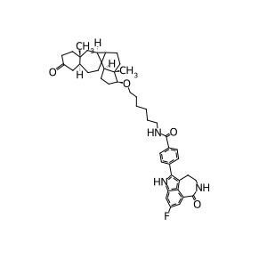 C[C@]12CCC(=O)C[C@@H]1CCC13C(CC[C@]4(C)[C@@H](OCCCCCCNC(=O)c5ccc(-c6[nH]c7cc(F)cc8c7c6CCNC8=O)cc5)CC[C@@H]14)[C@@H]3C2